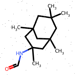 CC1(C)CC2(C)CC(C)(C1)CC(C)(NC=O)C2